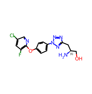 N[C@H](CO)Cc1nnn(-c2ccc(Oc3ncc(Cl)cc3F)cc2)n1